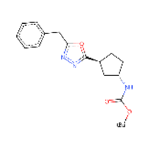 CC(C)(C)OC(=O)N[C@H]1CC[C@H](c2nnc(Cc3ccccc3)o2)C1